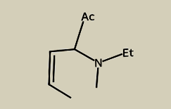 C/C=C\C(C(C)=O)N(C)CC